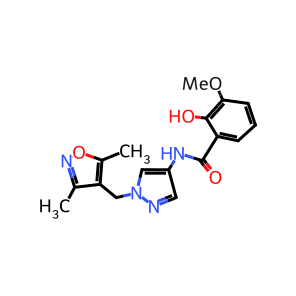 COc1cccc(C(=O)Nc2cnn(Cc3c(C)noc3C)c2)c1O